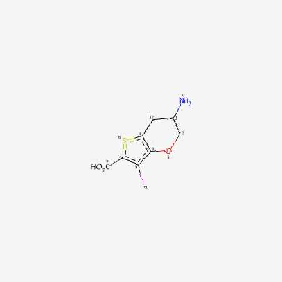 NC1COc2c(sc(C(=O)O)c2I)C1